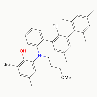 [2H]c1c(-c2ccccc2N(CCCOC)c2cc(C)cc(C(C)(C)C)c2O)cc(C)cc1-c1c(C)cc(C)cc1C